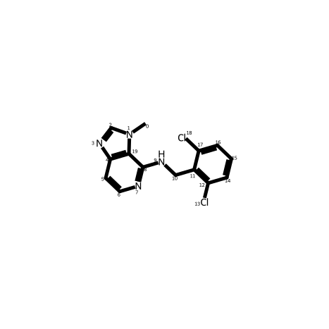 Cn1cnc2ccnc(NCc3c(Cl)cccc3Cl)c21